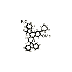 COc1cc2c3c(c4c(c2cc1N1CCOCC1)-c1ccc(C(F)(F)F)cc1C4(C)C)C=CC(c1ccccc1)(c1ccccc1)O3